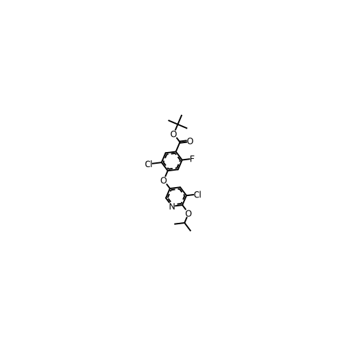 CC(C)Oc1ncc(Oc2cc(F)c(C(=O)OC(C)(C)C)cc2Cl)cc1Cl